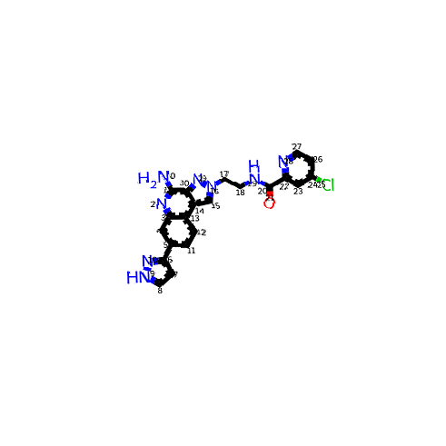 Nc1nc2cc(-c3cc[nH]n3)ccc2c2cn(CCNC(=O)c3cc(Cl)ccn3)nc12